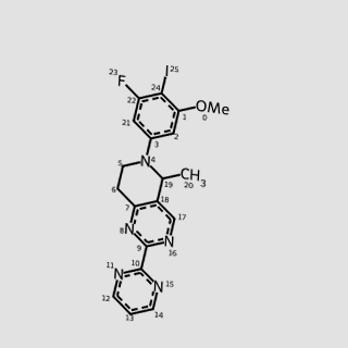 COc1cc(N2CCc3nc(-c4ncccn4)ncc3C2C)cc(F)c1I